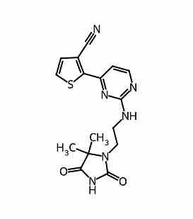 CC1(C)C(=O)NC(=O)N1CCNc1nccc(-c2sccc2C#N)n1